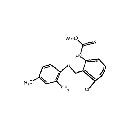 COC(=S)Nc1cccc(Cl)c1COc1ccc(C)cc1C(F)(F)F